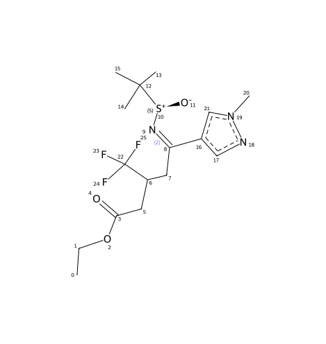 CCOC(=O)CC(C/C(=N/[S@+]([O-])C(C)(C)C)c1cnn(C)c1)C(F)(F)F